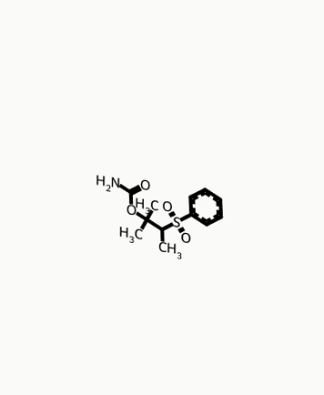 CC(C(C)(C)OC(N)=O)S(=O)(=O)c1ccccc1